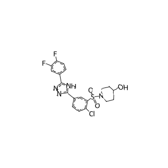 O=S(=O)(c1cc(-c2nnc(-c3ccc(F)c(F)c3)[nH]2)ccc1Cl)N1CCC(O)CC1